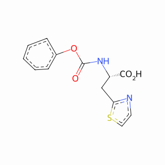 O=C(N[C@@H](Cc1nccs1)C(=O)O)Oc1ccccc1